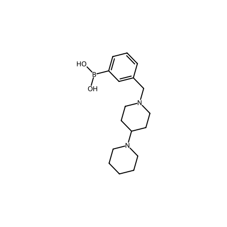 OB(O)c1cccc(CN2CCC(N3CCCCC3)CC2)c1